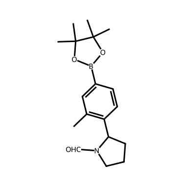 Cc1cc(B2OC(C)(C)C(C)(C)O2)ccc1C1CCCN1C=O